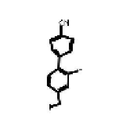 N#Cc1ccc(-c2ccc(CI)cc2F)cc1